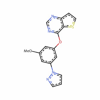 COc1cc(Oc2ncnc3ccsc23)cc(-n2cccn2)c1